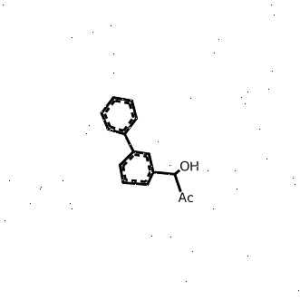 CC(=O)C(O)c1cccc(-c2ccccc2)c1